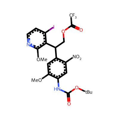 COc1cc(C(COC(=O)C(F)(F)F)c2c(I)ccnc2OC)c([N+](=O)[O-])cc1NC(=O)OC(C)(C)C